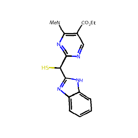 CCOC(=O)c1cnc(C(S)c2nc3ccccc3[nH]2)nc1NC